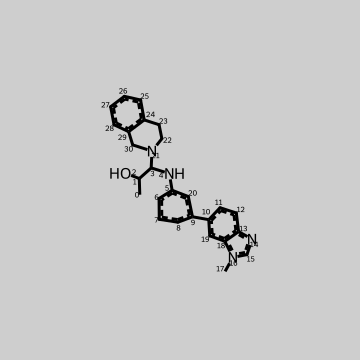 CC(O)C(Nc1cccc(-c2ccc3ncn(C)c3c2)c1)N1CCc2ccccc2C1